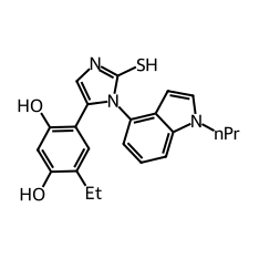 CCCn1ccc2c(-n3c(-c4cc(CC)c(O)cc4O)cnc3S)cccc21